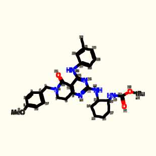 COc1ccc(CN2CCc3nc(N[C@@H]4CCCC[C@@H]4NC(=O)OC(C)(C)C)nc(Nc4cccc(C)c4)c3C2=O)cc1